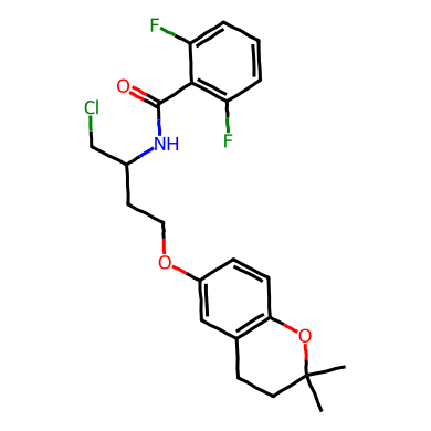 CC1(C)CCc2cc(OCCC(CCl)NC(=O)c3c(F)cccc3F)ccc2O1